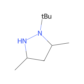 CC1CC(C)N(C(C)(C)C)N1